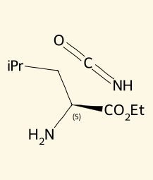 CCOC(=O)[C@@H](N)CC(C)C.N=C=O